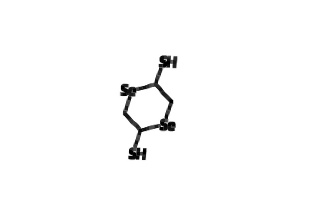 SC1C[Se]C(S)C[Se]1